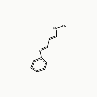 N#CNC=CC=Nc1ccccc1